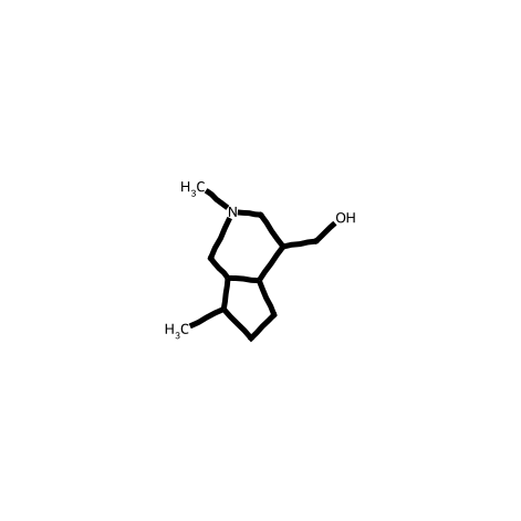 CC1CCC2C(CO)CN(C)CC12